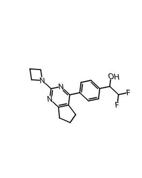 OC(c1ccc(-c2nc(N3CCC3)nc3c2CCC3)cc1)C(F)F